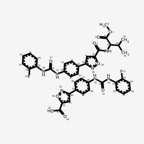 COC(=O)C(NC(=O)c1cc(-c2ccc(NC(=O)Nc3ccccc3F)cc2)no1)C(C)C.O=C(Nc1ccc(-c2cc(C(=O)O)on2)cc1)Nc1ccccc1F